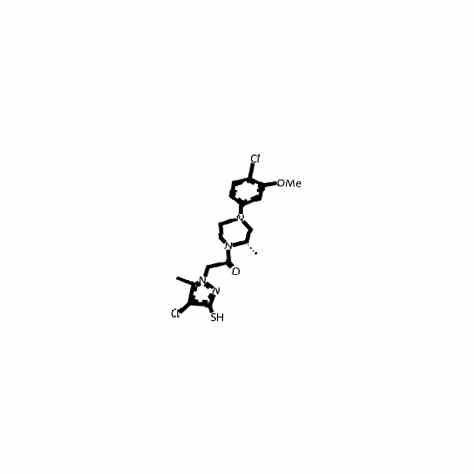 COc1cc(N2CCN(C(=O)Cn3nc(S)c(Cl)c3C)[C@@H](C)C2)ccc1Cl